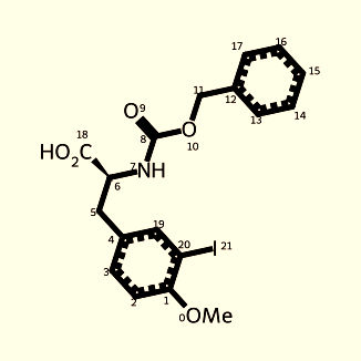 COc1ccc(C[C@H](NC(=O)OCc2ccccc2)C(=O)O)cc1I